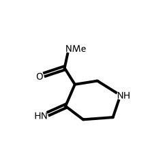 CNC(=O)C1CNCCC1=N